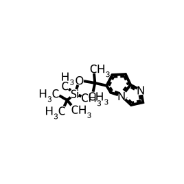 CC(C)(O[Si](C)(C)C(C)(C)C)c1ccc2nccn2c1